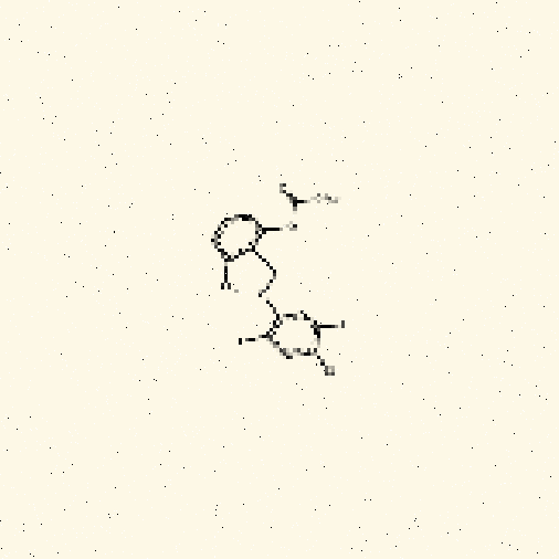 CCc1cc(F)c(OCc2c(OC(=O)OC)cccc2C(F)(F)F)cc1F